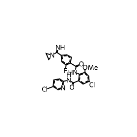 COc1cc(Cl)cc(C(=O)Nc2ccc(Cl)cn2)c1NC(=O)c1ccc(C(=N)N2CC2)cc1F